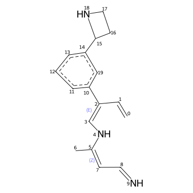 C=C/C(=C\N/C(C)=C\C=N)c1cccc(C2CCN2)c1